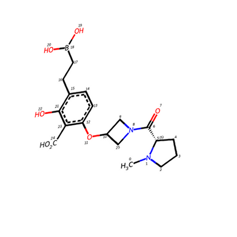 CN1CCC[C@H]1C(=O)N1CC(Oc2ccc(CCB(O)O)c(O)c2C(=O)O)C1